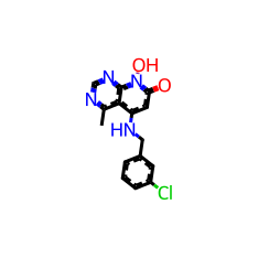 Cc1ncnc2c1c(NCc1cccc(Cl)c1)cc(=O)n2O